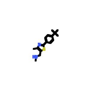 CNCc1sc(-c2ccc(C(C)(C)C)cc2)nc1C